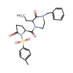 Cc1ccc(S(=O)(=O)N2C(=O)CC[C@H]2C(=O)N2CCN(Cc3ccccc3)C(=O)C2CC(=O)O)cc1